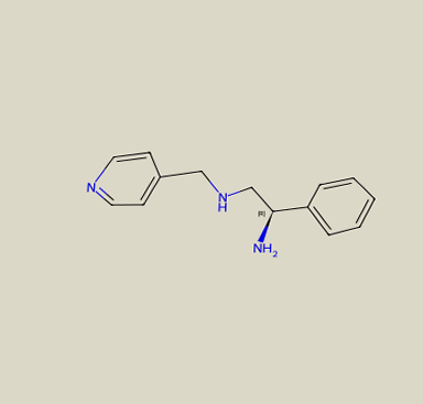 N[C@@H](CNCc1ccncc1)c1ccccc1